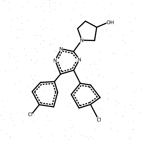 OC1CCN(c2nnc(-c3ccc(Cl)cc3)c(-c3ccc(Cl)cc3)n2)C1